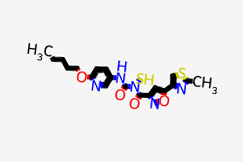 CCCCCOc1ccc(NC(=O)N(S)C(=O)c2cc(-c3csc(C)n3)on2)cn1